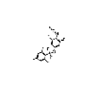 Cc1cc(C)c(C(F)(F)Oc2cc(F)c(N=C=S)c(F)c2)c(C)c1